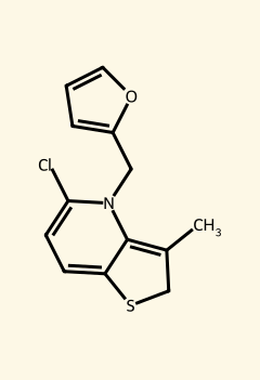 CC1=C2C(=CC=C(Cl)N2Cc2ccco2)SC1